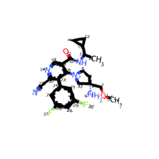 COC[C@]1(N)CCN(c2c(C(=O)NC(C)C3CC3)cnc(C#N)c2-c2cc(F)cc(F)c2)C1